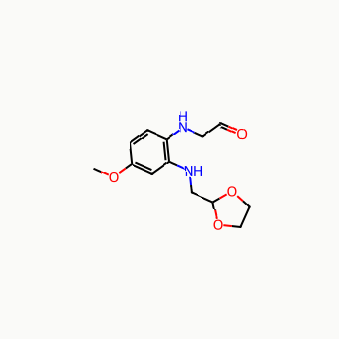 COc1ccc(NCC=O)c(NCC2OCCO2)c1